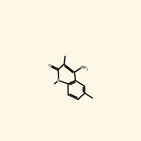 Cc1ccc2c(c1)c(N)c(C)c(=O)n2C